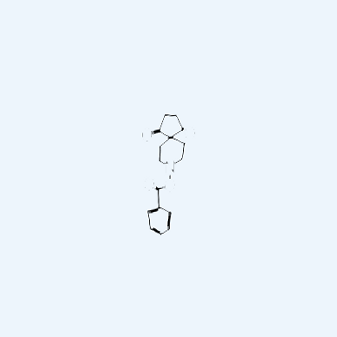 O=C(ON1CCC2(CC1)C(=O)CCC2=O)c1ccccc1